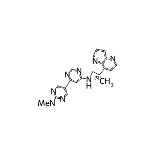 CNc1ncc(-c2cc(NC[C@@H](C)c3ccnc4cccnc34)ncn2)cn1